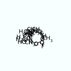 Cc1c([C@H](OC(C)(C)C)C(=O)O)c2n3cc(nc3c1C(C)(C)O)-c1cccc(c1)-c1cc(F)ccc1O[C@@H](C)CCCCOC1(C)CCN2CC1